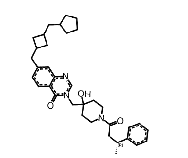 C[C@H](CC(=O)N1CCC(O)(Cn2cnc3cc(CC4CC(CC5CCCC5)C4)ccc3c2=O)CC1)c1ccccc1